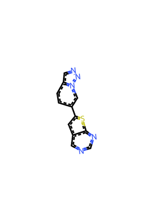 c1ncc2cc(-c3ccc4cnnn4c3)sc2n1